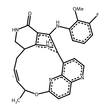 COc1c(F)cccc1Nc1c2[nH]c3c1C(=O)NCC3C/C=C\C(C)Oc1ccc3nccc-2c3n1